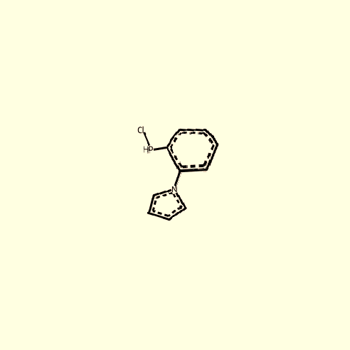 ClPc1ccccc1-n1cccc1